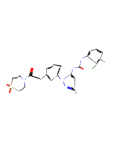 CC(C)(C)c1cc(NC(=O)Nc2cccc(Cl)c2Cl)n(-c2cccc(CC(=O)N3CCS(=O)(=O)CC3)c2)n1